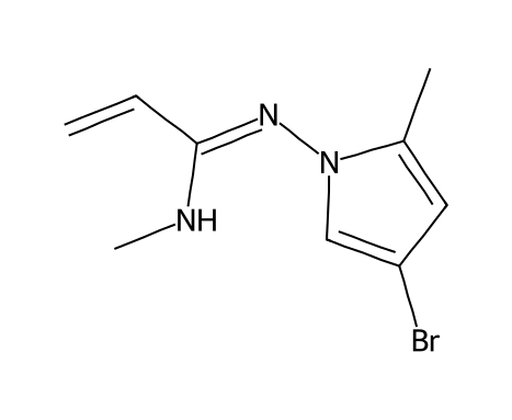 C=C/C(=N/n1cc(Br)cc1C)NC